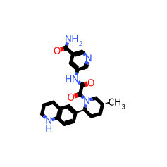 C[C@@H]1CC[C@@H](c2ccc3c(c2)CCCN3)N(C(=O)C(=O)Nc2cncc(C(N)=O)c2)C1